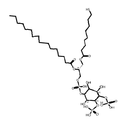 CCCCCCCCCCCCCCCC(=O)O[C@H](COC(=O)CCCCCCCCS)COP(=O)(O)OC1C(O)[C@@H](O)C(OP(=O)(O)O)[C@@H](OP(=O)(O)O)[C@H]1O